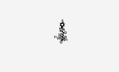 CCC1(CNC(=O)c2cnn(-c3ccc(F)cc3)n2)NC(=O)NC1=O